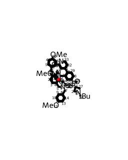 COc1ccc(CN(Cc2ccc(OC)cc2)S(=O)(=O)c2c(S(=O)(=O)C3CN(C(C)(C)C)C3)ccc(-c3ccnc(Cl)c3)c2-c2nnn(Cc3ccc(OC)cc3)n2)cc1